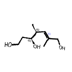 C/C(=C\[C@H](C)[C@@H](O)CCO)CO